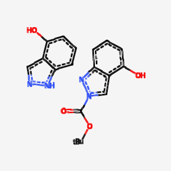 CC(C)(C)OC(=O)n1cc2c(O)cccc2n1.Oc1cccc2[nH]ncc12